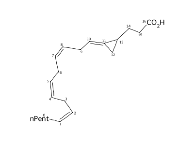 CCCCC/C=C\C/C=C\C/C=C\C/C=C1\CC1CCC(=O)O